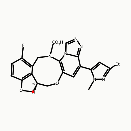 CCc1cc(-c2cc3c(n4cnnc24)N(C(=O)O)Cc2c(F)ccc4c2[C@@H](CO4)CO3)n(C)n1